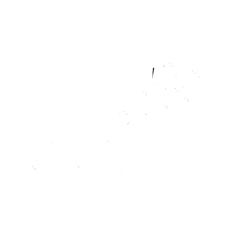 C[C@H](NC(=O)Nc1cc(OCc2ccc(C#N)c(F)c2)c(Cl)cc1Cl)c1ncnn1-c1ncccn1